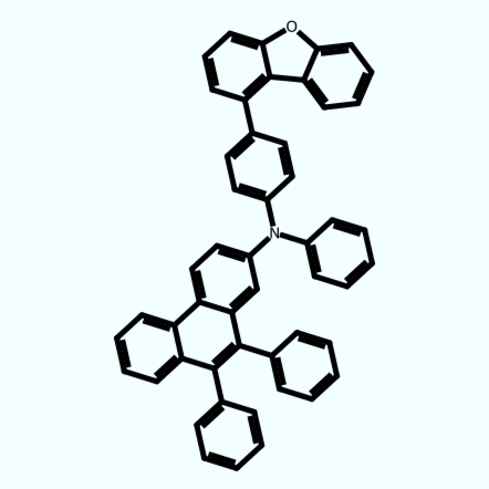 c1ccc(-c2c(-c3ccccc3)c3cc(N(c4ccccc4)c4ccc(-c5cccc6oc7ccccc7c56)cc4)ccc3c3ccccc23)cc1